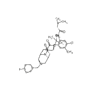 Cc1cc(C=CC(=O)N2C3CN(Cc4ccc(F)cc4)CC2CN(C(=O)OC(C)(C)C)C3)c(NC(=O)CN(C)C)cc1Cl